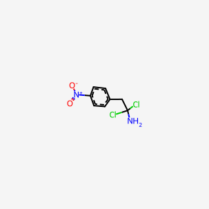 NC(Cl)(Cl)Cc1ccc([N+](=O)[O-])cc1